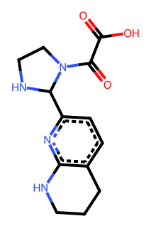 O=C(O)C(=O)N1CCNC1c1ccc2c(n1)NCCC2